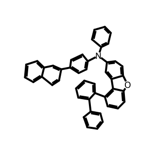 c1ccc(-c2ccccc2-c2cccc3oc4ccc(N(c5ccccc5)c5ccc(-c6ccc7ccccc7c6)cc5)cc4c23)cc1